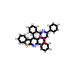 c1ccc(-c2cc(-c3ccccc3)nc(-c3ccccc3-c3c4ccccc4nc4sc5ccccc5c34)n2)cc1